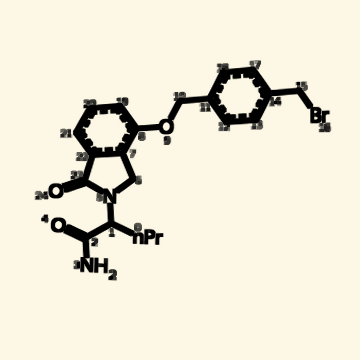 CCCC(C(N)=O)N1Cc2c(OCc3ccc(CBr)cc3)cccc2C1=O